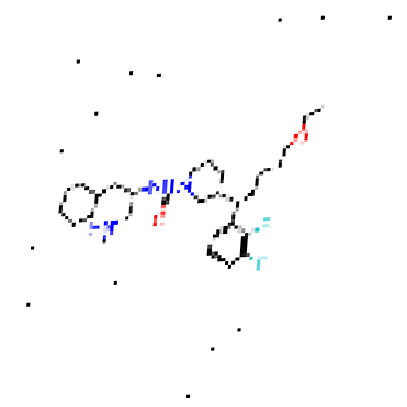 CCOCCCC[C@@H](c1cccc(F)c1F)[C@@H]1CCCN(C(=O)N[C@H](CNC)CC2CCCCC2)C1